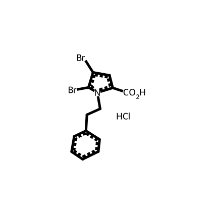 Cl.O=C(O)c1cc(Br)c(Br)n1CCc1ccccc1